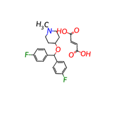 CN1CCC(OC(c2ccc(F)cc2)c2ccc(F)cc2)CC1.O=C(O)C=CC(=O)O